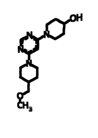 COCC1CCN(c2cc(N3CCC(O)CC3)ncn2)CC1